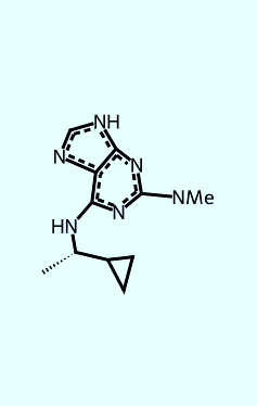 CNc1nc(N[C@@H](C)C2CC2)c2nc[nH]c2n1